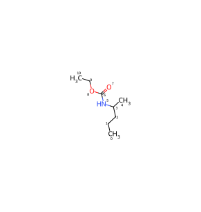 CCCC(C)NC(=O)OCC